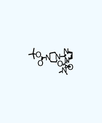 CN(C)S(=O)(=O)n1ccnc1N1CCN(C(=O)OC(C)(C)C)CC1